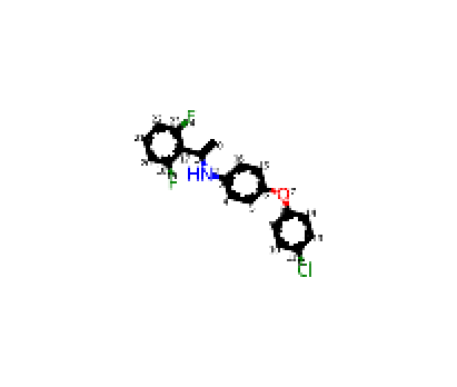 C=C(Nc1ccc(Oc2ccc(Cl)cc2)cc1)c1c(F)cccc1F